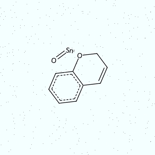 C1=Cc2ccccc2OC1.[O]=[Sn]